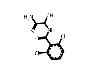 CC(NC(=O)c1c(Cl)cccc1Cl)C(N)=S